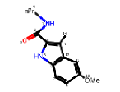 CCCNC(=O)c1[nH]c2ccc(OC)cc2c1C